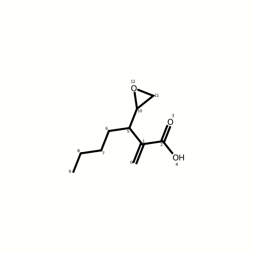 C=C(C(=O)O)C(CCCC)C1CO1